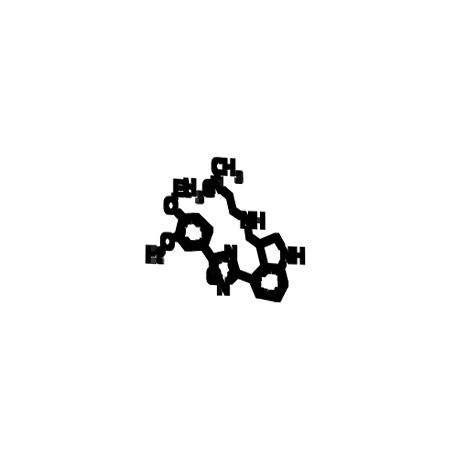 CCOc1ccc(-c2nc(-c3cccc4c3C(CNCCN(C)C)CN4)no2)cc1OCC